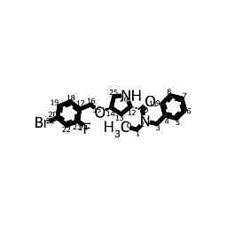 CCN(Cc1ccccc1)C(=O)[C@@H]1C[C@@H](OCc2ccc(Br)cc2F)CN1